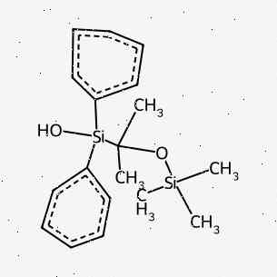 CC(C)(O[Si](C)(C)C)[Si](O)(c1ccccc1)c1ccccc1